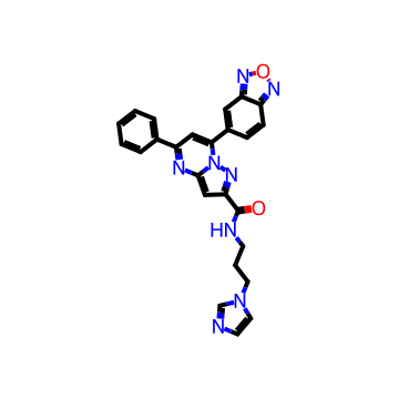 O=C(NCCCn1ccnc1)c1cc2nc(-c3ccccc3)cc(-c3ccc4nonc4c3)n2n1